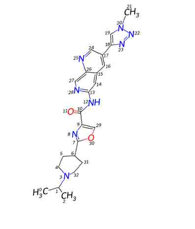 CC(C)N1CCC(c2nc(C(=O)Nc3cc4cc(-c5cn(C)nn5)cnc4cn3)co2)CC1